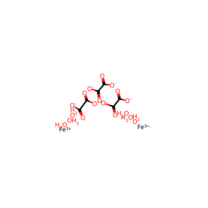 O.O.O.O.O.O.O=C([O-])C(=O)[O-].O=C([O-])C(=O)[O-].O=C([O-])C(=O)[O-].[Fe+3].[Fe+3]